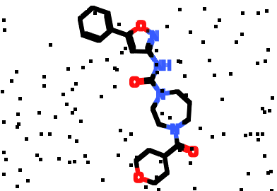 O=C(Nc1cc(C2=CCCC=C2)on1)N1CCCN(C(=O)C2CCOCC2)CC1